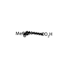 COC(=O)c1ccc(/C=N/CCCCCCCCCCC(=O)O)cc1